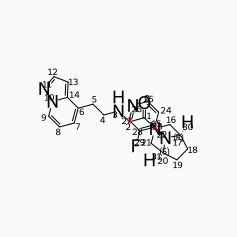 O=C(CNCCc1cccn2nccc12)N1C[C@H]2CC[C@@H](C1)N2c1ccncc1F